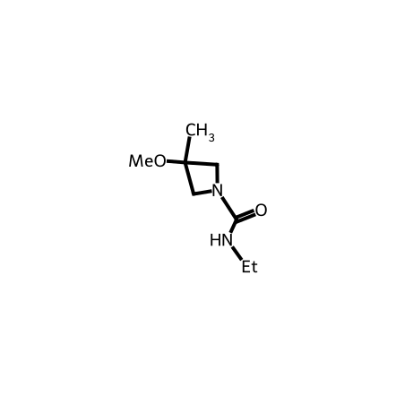 CCNC(=O)N1CC(C)(OC)C1